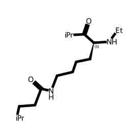 CCN[C@@H](CCCCNC(=O)CCC(C)C)C(=O)C(C)C